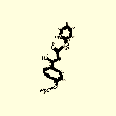 COc1ccc(C(S)CC(=O)Oc2ccccn2)cc1